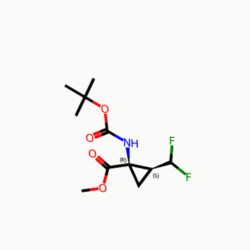 COC(=O)[C@@]1(NC(=O)OC(C)(C)C)C[C@@H]1C(F)F